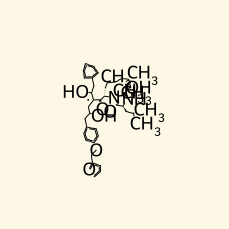 CN[C@@H](CC(C)C)C(=O)N(C)[C@@H](CC(C)CCC(C)O)C(=O)[C](CC(O)Cc1ccc(OCc2ccco2)cc1)C(O)Cc1ccccc1